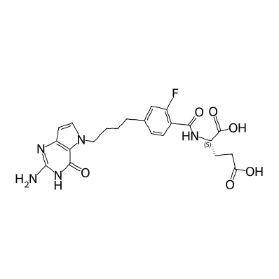 Nc1nc2ccn(CCCCc3ccc(C(=O)N[C@@H](CCC(=O)O)C(=O)O)c(F)c3)c2c(=O)[nH]1